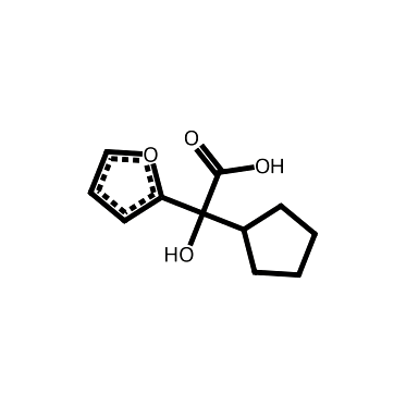 O=C(O)C(O)(c1ccco1)C1CCCC1